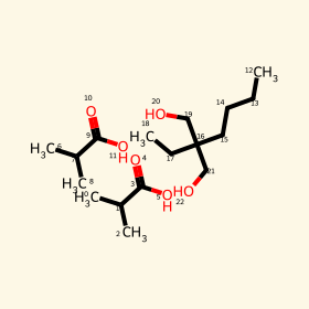 CC(C)C(=O)O.CC(C)C(=O)O.CCCCC(CC)(CO)CO